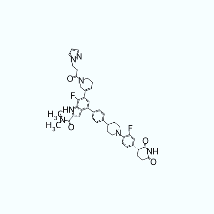 CN(C)C(=O)c1cc2c(-c3ccc(C4CCN(c5ccc([C@H]6CCC(=O)NC6=O)cc5F)CC4)cc3)cc(C3=CCCN(C(=O)CCn4cccn4)C3)c(F)c2[nH]1